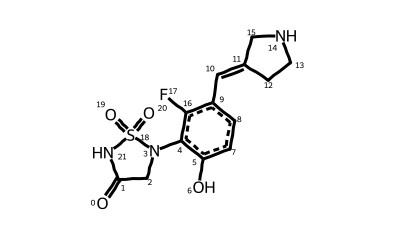 O=C1CN(c2c(O)ccc(/C=C3\CCNC3)c2F)S(=O)(=O)N1